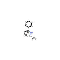 CCN[SiH](CC)c1ccccc1